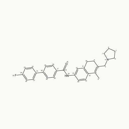 CC1=C(CN2CCCC2)CCc2cc(NC(=O)c3ccc(-c4ccc(F)cc4)cc3)ccc21